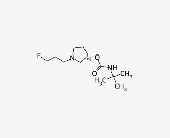 CC(C)(C)NC(=O)O[C@H]1CCN(CCCF)C1